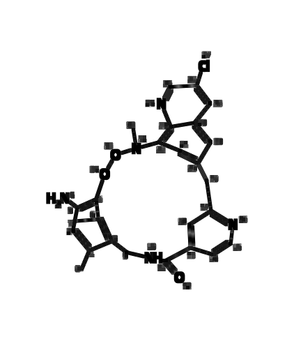 Cc1cc(N)c2c(C)c1CNC(=O)c1ccnc(c1)Cc1cc(c3ncc(Cl)cc3c1)N(C)OO2